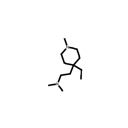 CCC1(CCN(C)C)CCN(C)CC1